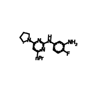 CCCc1cc(N2[CH]CCC2)nc(Nc2ccc(F)c(N)c2)n1